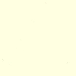 Cn1cc(S(=O)(=O)N2CCC(Nc3cc(-c4ccc(C#N)c(F)c4)cc4ccncc34)CC2)cn1